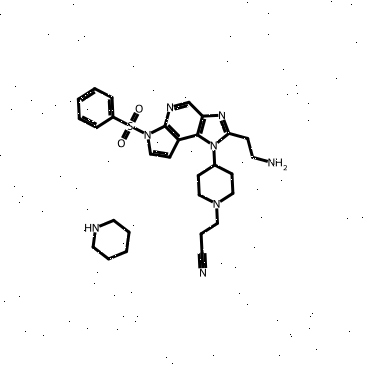 C1CCNCC1.N#CCCN1CCC(n2c(CCN)nc3cnc4c(ccn4S(=O)(=O)c4ccccc4)c32)CC1